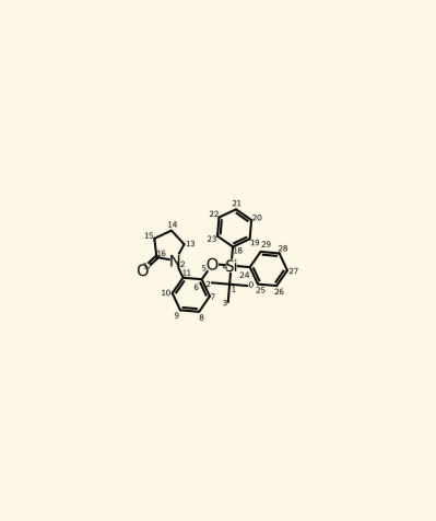 CC(C)(C)[Si](Oc1ccccc1N1CCCC1=O)(c1ccccc1)c1ccccc1